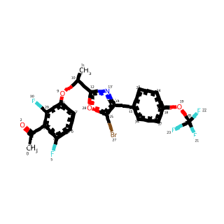 CC(=O)c1c(F)ccc(OC(C)c2nc(-c3ccc(OC(F)(F)F)cc3)c(Br)o2)c1F